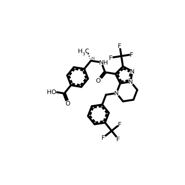 C[C@H](NC(=O)c1c(C(F)(F)F)nn2c1N(Cc1cccc(C(F)(F)F)c1)CCC2)c1ccc(C(=O)O)cc1